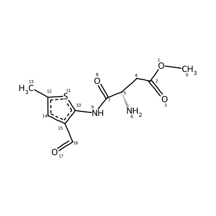 COC(=O)C[C@H](N)C(=O)Nc1sc(C)cc1C=O